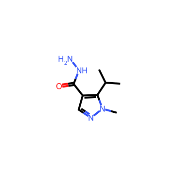 CC(C)c1c(C(=O)NN)cnn1C